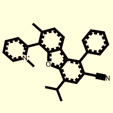 Cc1ccc2c(oc3c(C(C)C)cc(C#N)c(-c4ccccc4)c32)c1-c1cccc[n+]1C